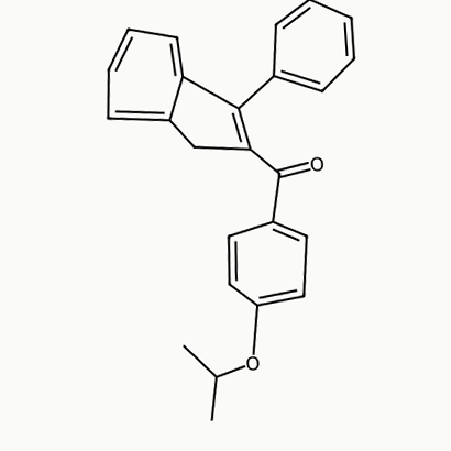 CC(C)Oc1ccc(C(=O)C2=C(c3ccccc3)c3ccccc3C2)cc1